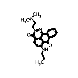 CCCNc1ccc2c(=O)n(CCN(C)C)nc3c2c1C(=O)c1ccccc1-3